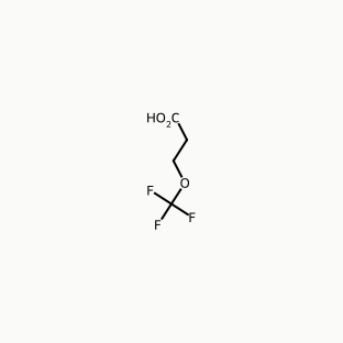 O=C(O)CCOC(F)(F)F